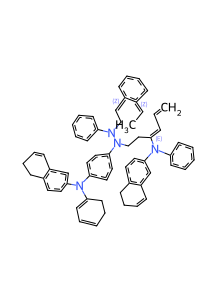 C=C/C=C(\CCN(c1ccc(N(C2=CC=CCC2)c2ccc3c(c2)C=CCC3)cc1)N(C/C=c1/cccc/c1=C/C)c1ccccc1)N(c1ccccc1)c1ccc2c(c1)C=CCC2